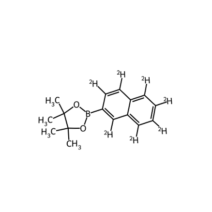 [2H]c1c([2H])c([2H])c2c([2H])c(B3OC(C)(C)C(C)(C)O3)c([2H])c([2H])c2c1[2H]